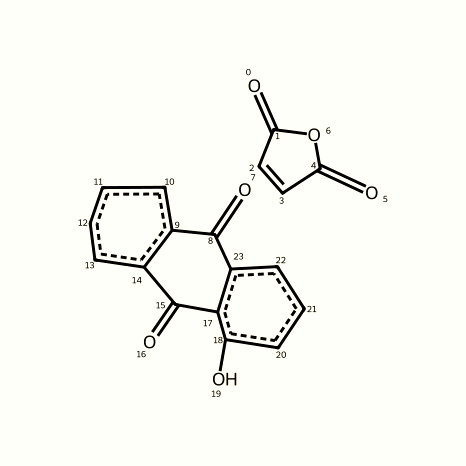 O=C1C=CC(=O)O1.O=C1c2ccccc2C(=O)c2c(O)cccc21